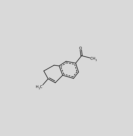 CC(=O)c1ccc2c(c1)CCC(C)=C2